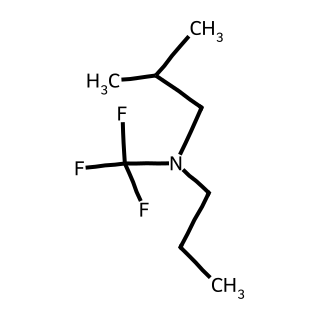 CCCN(CC(C)C)C(F)(F)F